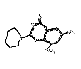 O=[N+]([O-])c1cc([N+](=O)[O-])c2sc(N3CCCCC3)nc(=S)c2c1